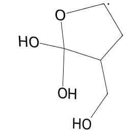 OCC1C[CH]OC1(O)O